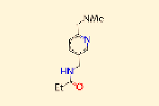 CCC(=O)NCc1ccc(CNC)nc1